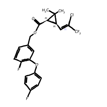 CC1(C)[C@H](C(=O)OCc2ccc(F)c(Oc3ccc(F)cc3)c2)[C@@H]1/C=C(\Cl)C(F)(F)F